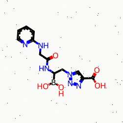 O=C(CNc1ccccn1)NC(Cn1cc(C(=O)O)nn1)B(O)O